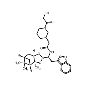 CC1(C)[C@@H]2C[C@H]3OB([C@H](Cc4coc5ccccc45)NC(=O)O[C@H]4CCCN(C(=O)CC#N)C4)O[C@@]3(C)[C@H]1C2